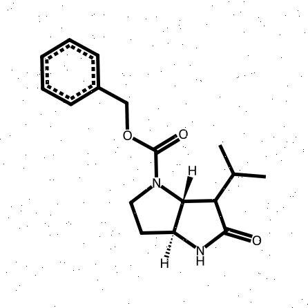 CC(C)C1C(=O)N[C@H]2CCN(C(=O)OCc3ccccc3)[C@H]12